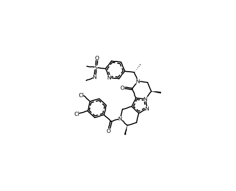 CN=S(C)(=O)c1ccc([C@H](C)N2C[C@@H](C)n3nc4c(c3C2=O)CN(C(=O)c2ccc(Cl)c(Cl)c2)[C@H](C)C4)cn1